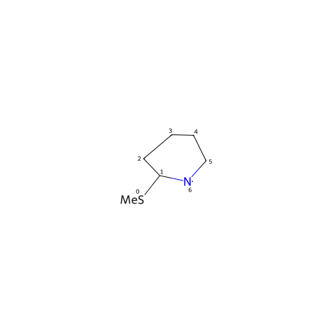 CSC1CCCC[N]1